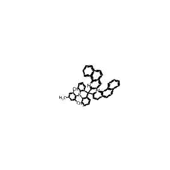 Cc1cc(C)c(N2c3ccccc3C(c3ccc4ccc5ccccc5c4n3)(c3ccc4ccc5ccccc5c4n3)c3ccccc32)c(C)c1